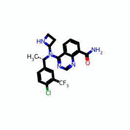 C[C@@H](c1ccc(Cl)c(C(F)(F)F)c1)N(c1ncnc2c(C(N)=O)cccc12)C1CCN1